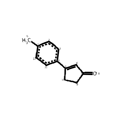 Cc1ccc(C2=CC(=O)CC2)cc1